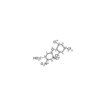 Cl.O=C(O)c1cc(Oc2c(Cl)cc(C(F)(F)F)cc2Cl)ccc1[N+](=O)[O-]